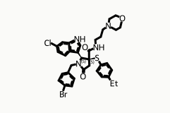 CCc1ccc(S[C@@]2(C(=O)NCCCN3CCOCC3)CC(=O)N(Cc3ccc(Br)cc3)[C@H]2c2c[nH]c3cc(Cl)ccc23)cc1